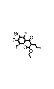 CCC=C(C(=O)OCC)C(=O)c1cc(F)c(F)c(Br)c1F